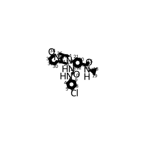 O=C(Nc1ccc(Cl)cc1)Nc1cc(C(=O)NC2CC2)ccc1N1CC2CC(C1)c1cccc(=O)n1C2